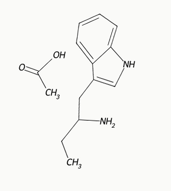 CC(=O)O.CCC(N)Cc1c[nH]c2ccccc12